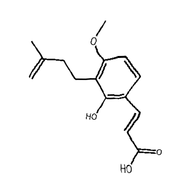 C=C(C)CCc1c(OC)ccc(C=CC(=O)O)c1O